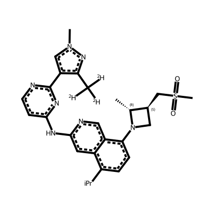 [2H]C([2H])([2H])c1nn(C)cc1-c1nccc(Nc2cc3c(C(C)C)ccc(N4C[C@H](CS(C)(=O)=O)[C@H]4C)c3cn2)n1